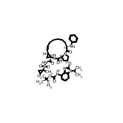 CC(C)n1c(O[C@@H]2C[C@H]3C(=O)N[C@]4(C(=O)NS(=O)(=O)C5(C)CC5)C[C@H]4/C=C\CCCCC[C@H](Nc4ccccc4)C(=O)N3C2)nc2c(NC(=O)OC(C)(C)C)cccc21